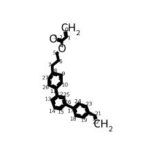 C=CC(=O)OCCCc1ccc(-c2cccc(-c3ccc(C=C)cc3)c2)cc1